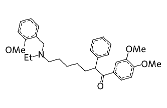 CCN(CCCCCC(C(=O)c1ccc(OC)c(OC)c1)c1ccccc1)Cc1ccccc1OC